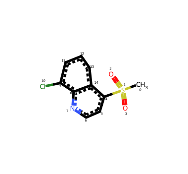 CS(=O)(=O)c1ccnc2c(Cl)cccc12